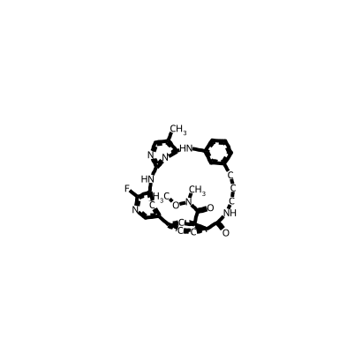 CON(C)C(=O)c1cc2ccc1C(=O)NCCCc1cccc(c1)Nc1nc(ncc1C)Nc1cc-2cnc1F